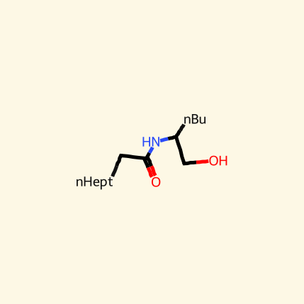 CCCCCCCCC(=O)NC(CO)CCCC